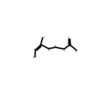 [CH2]/C=C(/C)CCCC(=C)C